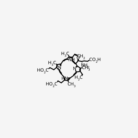 C=CC1=C(C)c2nc1cc1[nH]c(cc3nc(cc4[nH]c(c(C=C)c4C)c2C(=O)[C@@H](N)CCC(=O)O)C(C)=C3CCC(=O)O)c(CCC(=O)O)c1C